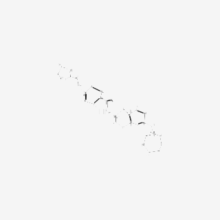 O=C(N[C@H]1CCc2cc(CN3CCCCCC3)ccc2C1)c1ccc(OCC2OCCO2)cc1